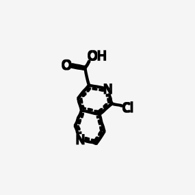 O=C(O)c1cc2cnccc2c(Cl)n1